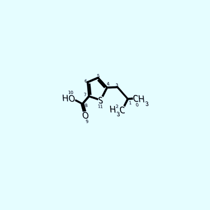 CC(C)Cc1ccc(C(=O)O)s1